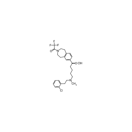 CN(CCCCC(=O)c1ccc2c(c1)CCN(C(=O)C(F)(F)F)CC2)CCc1ccccc1Cl.Cl